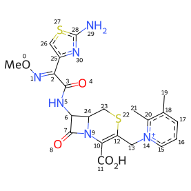 CON=C(C(=O)NC1C(=O)N2C(C(=O)O)=C(C[n+]3cccc(C)c3C)SCC12)c1csc(N)n1